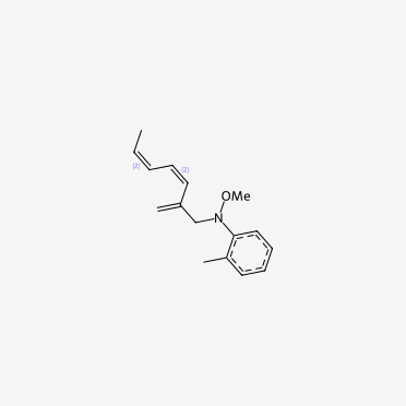 C=C(/C=C\C=C/C)CN(OC)c1ccccc1C